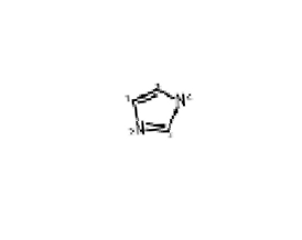 C1=CN=C[N]1